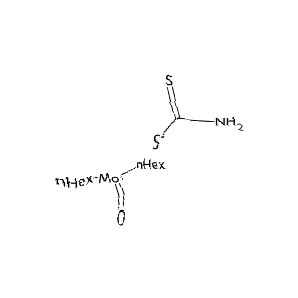 CCCCC[CH2][Mo+](=[O])[CH2]CCCCC.NC(=S)[S-]